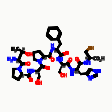 C[C@@H](O)[C@H](N)C(=O)N1CCC[C@H]1C(=O)N[C@@H](CO)C(=O)N1CCC[C@H]1C(=O)N[C@@H](Cc1ccccc1)C(=O)N[C@@H](CO)C(=O)N[C@@H](Cc1c[nH]cn1)C(=O)N[C@@H](CS)C(=O)O